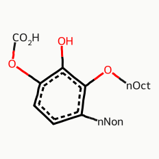 CCCCCCCCCc1ccc(OC(=O)O)c(O)c1OCCCCCCCC